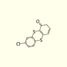 O=C1CC=CC2=C1Sc1cc(Cl)ccc1S2